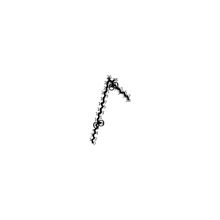 CCCCCCCOC(=O)CCCCCCCCCCCCCCCC(C)C(C)C(=O)OCCCCCCC